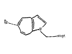 CCCCCCCCn1ccc2cc(Br)ccc21